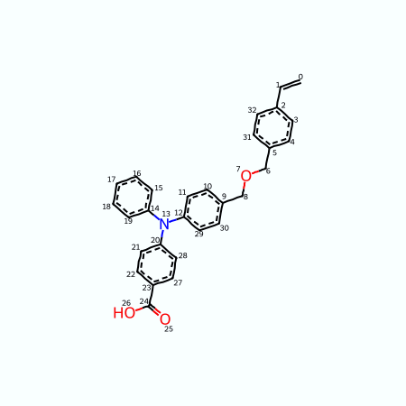 C=Cc1ccc(COCc2ccc(N(c3ccccc3)c3ccc(C(=O)O)cc3)cc2)cc1